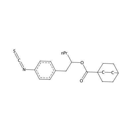 CCCC(Cc1ccc(N=C=S)cc1)OC(=O)C12CCC(CC1)CC2